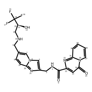 O=C(NCc1cn2cc(CNC[C@H](O)C(F)(F)F)ccc2n1)c1cc(=O)n2ccccc2n1